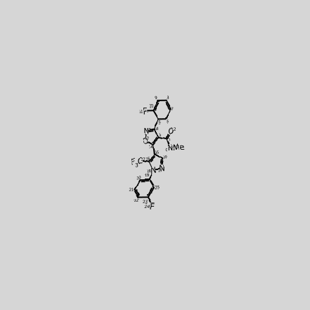 CNC(=O)c1c(C2CC=CC=C2F)noc1-c1cnn(-c2cccc(F)c2)c1C(F)(F)F